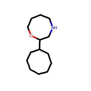 C1CCCC(C2CNCCCCO2)CCC1